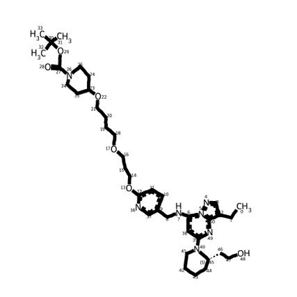 CCc1cnn2c(NCc3ccc(OCCCOCCCCOC4CCN(C(=O)OC(C)(C)C)CC4)nc3)cc(N3CCCC[C@H]3CCO)nc12